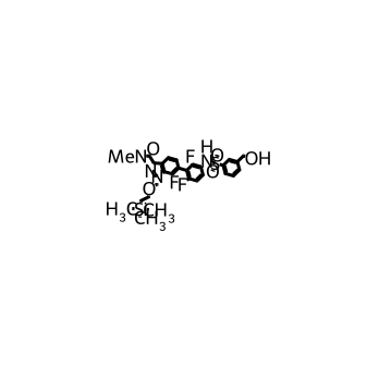 CNC(=O)c1nn(COCC[Si](C)(C)C)c2c(F)c(-c3c(F)ccc(NS(=O)(=O)c4cccc(CO)c4)c3F)ccc12